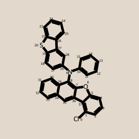 Clc1cccc2oc3c(N(c4ccccc4)c4ccc5sc6ccccc6c5c4)c4ccccc4cc3c12